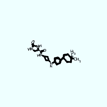 CC1(C)CCC(c2ccc(NC3CC(NC(=O)[C@H]4CNC(=O)N4)C3)cc2)CC1